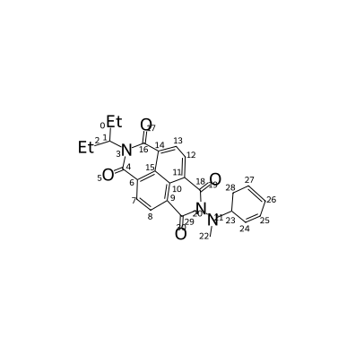 CCC(CC)N1C(=O)c2ccc3c4c(ccc(c24)C1=O)C(=O)N(N(C)C1C=CC=CC1)C3=O